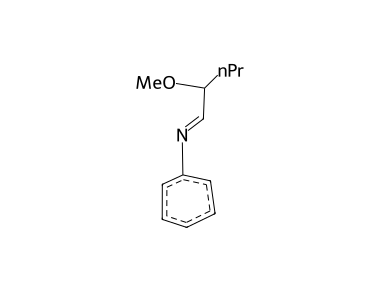 C[CH]CC(C=Nc1ccccc1)OC